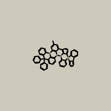 Cc1cc2c3c(c1)N1c4ccccc4C(c4ccccc4)(c4ccccc4)c4cccc(c41)B3N1c3ccccc3S3(c4ccccc4-c4ccccc43)c3cccc-2c31